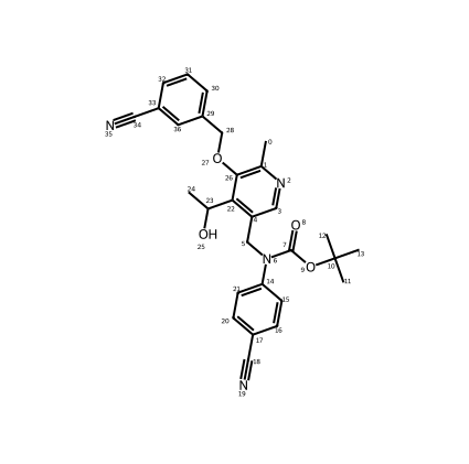 Cc1ncc(CN(C(=O)OC(C)(C)C)c2ccc(C#N)cc2)c(C(C)O)c1OCc1cccc(C#N)c1